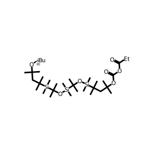 CCC(=O)OC(=O)OC(C)(C)CC(C)(C)[Si](C)(C)OC(C)(C)[Si](C)(C)OC(C)(C)[Si](C)(C)C(C)(C)CC(C)(C)O[C@H](C)CC